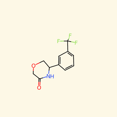 O=C1COCC(c2cccc(C(F)(F)F)c2)N1